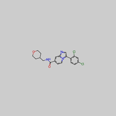 O=C(NCC1CCOCC1)c1ccn2c(-c3ccc(Cl)cc3Cl)cnc2c1